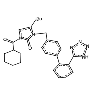 CCC(C)c1cn(C(=O)C2CCCCC2)c(=O)n1Cc1ccc(-c2ccccc2-c2nnn[nH]2)cc1